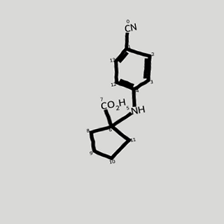 N#Cc1ccc(NC2(C(=O)O)CCCC2)cc1